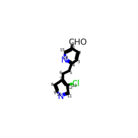 O=Cc1ccc(CCc2ccncc2Cl)nc1